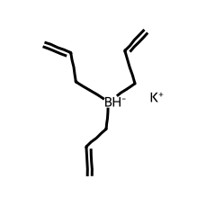 C=CC[BH-](CC=C)CC=C.[K+]